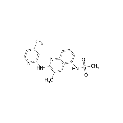 Cc1cc2c(NS(C)(=O)=O)cccc2nc1Nc1cc(C(F)(F)F)ccn1